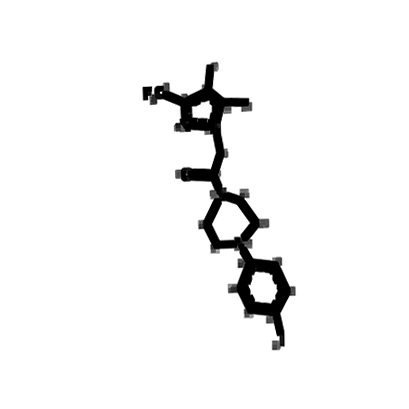 Cc1c(C(F)(F)F)nn(CC(=O)N2CCN(c3ccc(I)cc3)CC2)c1C